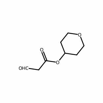 O=CCC(=O)OC1CCOCC1